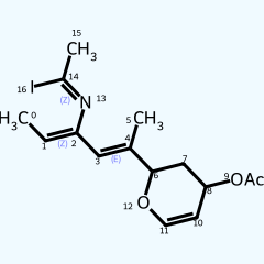 C/C=C(/C=C(\C)C1CC(OC(C)=O)C=CO1)\N=C(\C)I